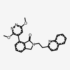 COc1cc(-c2cccc3c2C(=O)N(CCc2ccc4ccccc4n2)C3)c(OC)nn1